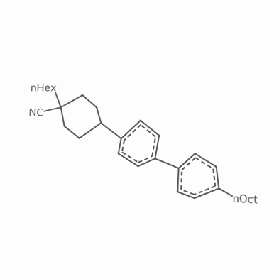 CCCCCCCCc1ccc(-c2ccc(C3CCC(C#N)(CCCCCC)CC3)cc2)cc1